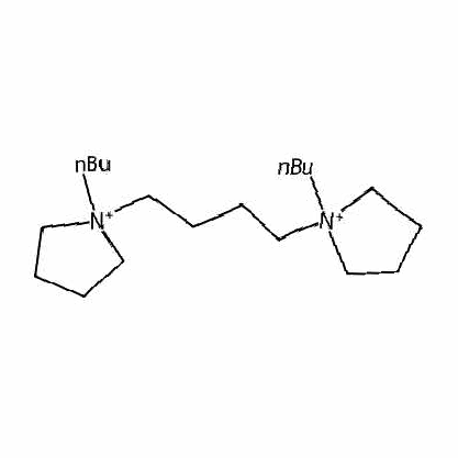 CCCC[N+]1(CCCC[N+]2(CCCC)CCCC2)CCCC1